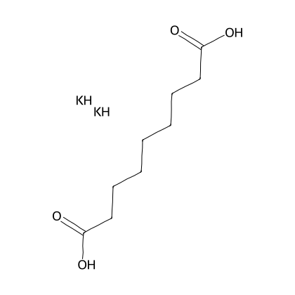 O=C(O)CCCCCCCC(=O)O.[KH].[KH]